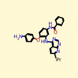 CC(C)c1ccc2c(Nc3cc(NC(=O)c4ccccc4)ccc3Oc3ccc(N)cc3)ncnc2n1